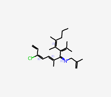 C=C\C(Cl)=C/C=C(C)/C(=N/CC(=C)C)C(=C(C)C)/C(C)=C(/C)CCC